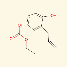 C=CCc1ccccc1O.CCOC(=O)O